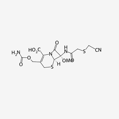 CO[C@@]1(NC(=O)CSCC#N)C(=O)N2C(C(=O)O)=C(COC(N)=O)CS[C@@H]21